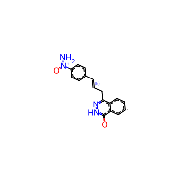 N[N+](=O)c1ccc(/C=C/Cc2n[nH]c(=O)c3c[c]ccc23)cc1